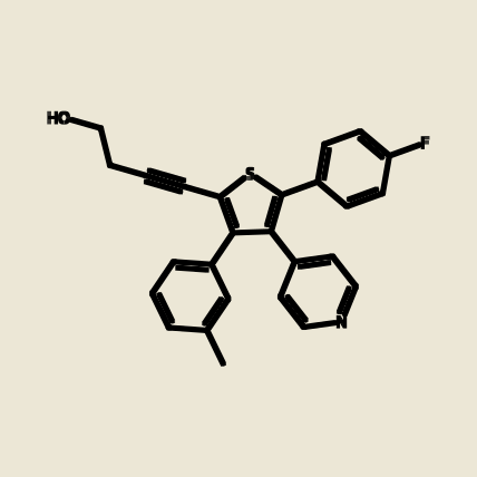 Cc1cccc(-c2c(C#CCCO)sc(-c3ccc(F)cc3)c2-c2ccncc2)c1